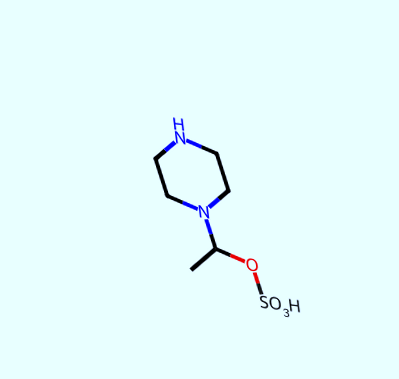 CC(OS(=O)(=O)O)N1CCNCC1